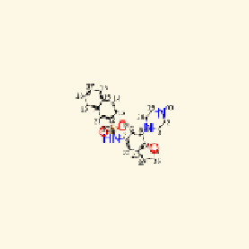 CN1CCN(c2cc(NS(=O)(=O)c3ccc4ccccc4c3)cc3c2OCC3)CC1